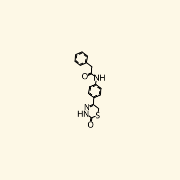 O=C(Cc1ccccc1)Nc1ccc(C2=NNC(=O)SC2)cc1